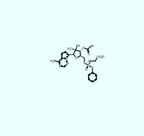 CCOC(=O)CNP(=O)(OC[C@H]1O[C@@H](c2ccc3c(N)ncnn23)[C@](C)(O)[C@@H]1OC(=O)C(C)C)Oc1ccccc1